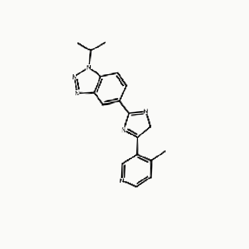 Cc1ccncc1C1=NC(c2ccc3c(c2)nnn3C(C)C)=NC1